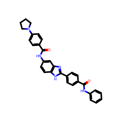 O=C(Nc1ccccc1)c1ccc(-c2nc3cc(NC(=O)c4ccc(N5CCCC5)cc4)ccc3[nH]2)cc1